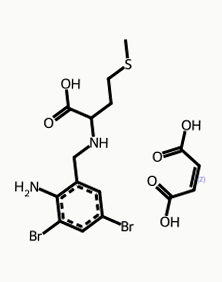 CSCCC(NCc1cc(Br)cc(Br)c1N)C(=O)O.O=C(O)/C=C\C(=O)O